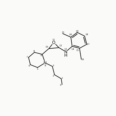 CCCCN1CCCCC1C1OC1Nc1c(C)cccc1C